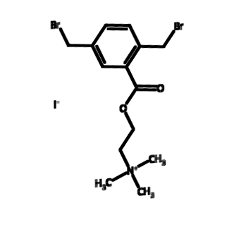 C[N+](C)(C)CCOC(=O)c1cc(CBr)ccc1CBr.[I-]